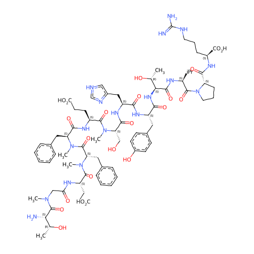 CC(C)[C@H](NC(=O)[C@@H](NC(=O)[C@H](Cc1ccc(O)cc1)NC(=O)[C@H](Cc1c[nH]cn1)NC(=O)[C@H](CO)N(C)C(=O)[C@H](CCC(=O)O)NC(=O)[C@H](Cc1ccccc1)N(C)C(=O)[C@H](Cc1ccccc1)N(C)C(=O)[C@H](CC(=O)O)NC(=O)CN(C)C(=O)[C@@H](N)[C@@H](C)O)[C@@H](C)O)C(=O)N1CCC[C@H]1C(=O)N[C@@H](CCCNC(=N)N)C(=O)O